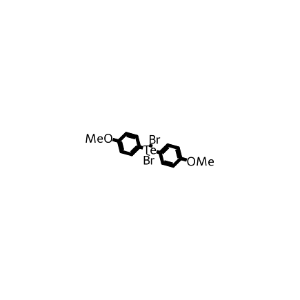 COc1ccc([Te](Br)(Br)c2ccc(OC)cc2)cc1